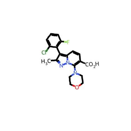 Cc1nn2c(N3CCOCC3)c(C(=O)O)ccc2c1-c1c(F)cccc1Cl